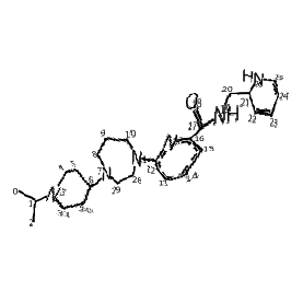 CC(C)N1CCC(N2CCCN(c3cccc(C(=O)NCC4C=CC=CN4)n3)CC2)CC1